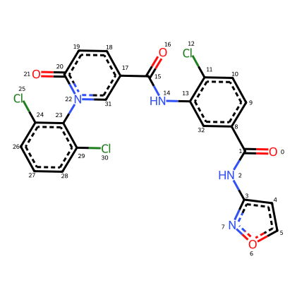 O=C(Nc1ccon1)c1ccc(Cl)c(NC(=O)c2ccc(=O)n(-c3c(Cl)cccc3Cl)c2)c1